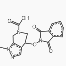 Cn1ncc2c1CN(C(=O)O)CC2ON1C(=O)c2ccccc2C1=O